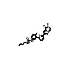 CCCCNC(=O)Nc1ccc(C)c(-c2nccc(-c3cc4n(n3)CCNC4=O)n2)c1